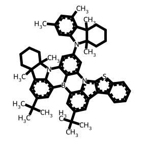 Cc1cc(C)c2c(c1)N(c1cc3c4c(c1)-n1c5sc6ccccc6c5c5cc(C(C)(C)C)cc(c51)B4c1cc(C(C)(C)C)cc4c1N3C1(C)CCCCC41C)C1(C)CCCCC21C